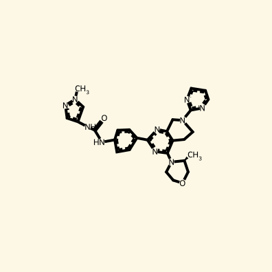 C[C@H]1COCCN1c1nc(-c2ccc(NC(=O)Nc3cnn(C)c3)cc2)nc2c1CCN(c1ncccn1)C2